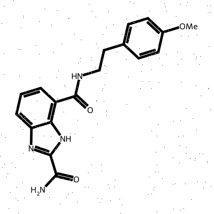 COc1ccc(CCNC(=O)c2cccc3nc(C(N)=O)[nH]c23)cc1